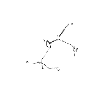 CC(C)OC(C)Br